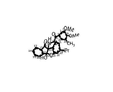 COc1cc(C(=O)C(=O)NC23C(=O)c4ccccc4C2(O)Oc2cc(C(C)C)ccc23)cc(C)c1OC